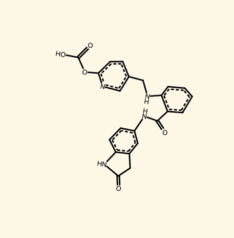 O=C1Cc2cc(NC(=O)c3ccccc3NCc3ccc(OC(=O)O)nc3)ccc2N1